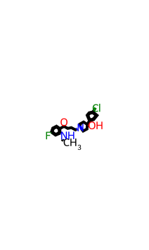 CCNc1cc(F)ccc1C(=O)CCCN1CCC(O)(c2ccc(Cl)cc2)CC1